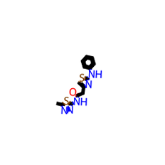 Cc1nnc(NC(=O)Cc2csc(Nc3ccccc3)n2)s1